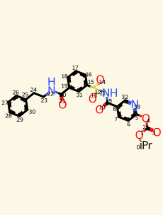 CC(C)OC(=O)Oc1ccc(C(=O)NS(=O)(=O)c2cccc(C(=O)NCCc3ccccc3)c2)cn1